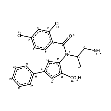 CC(CN)N(C(=O)c1ccc(Cl)cc1Cl)c1cc(-c2ccccc2)sc1C(=O)O